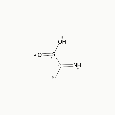 CC(=N)S(=O)O